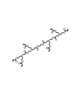 C=CC(=O)OCCN(CCOC(=O)C=C)CCC(=O)OCCN(CCOC(=O)C=C)CCC(=O)OCCOC(=O)CCN(CCOC(=O)C=C)CCOC(=O)CCN(CCOC(=O)C=C)CCOC(=O)C=C